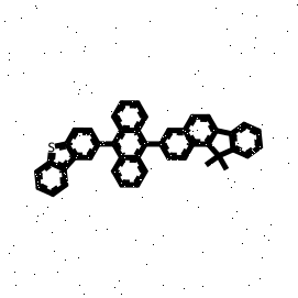 CC1(C)c2ccccc2-c2ccc3cc(-c4c5ccccc5c(-c5ccc6sc7ccccc7c6c5)c5ccccc45)ccc3c21